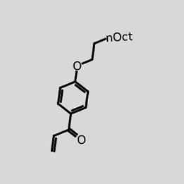 C=CC(=O)c1ccc(OCCCCCCCCCC)cc1